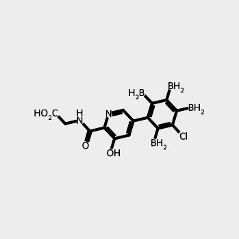 Bc1c(B)c(Cl)c(B)c(-c2cnc(C(=O)NCC(=O)O)c(O)c2)c1B